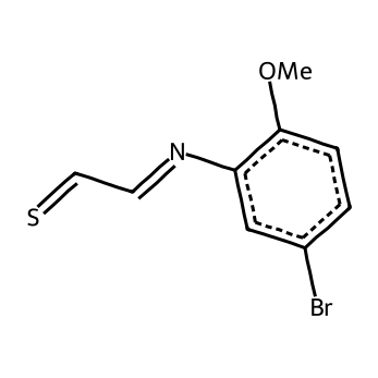 COc1ccc(Br)cc1N=CC=S